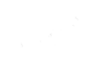 NCCCO[N+](=O)OCCCN